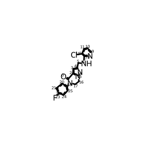 O=C1c2cc(CNc3ncccc3Cl)nn2CCN1c1ccc(F)cc1